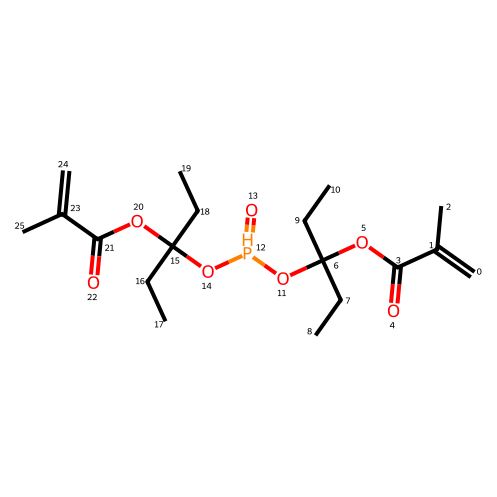 C=C(C)C(=O)OC(CC)(CC)O[PH](=O)OC(CC)(CC)OC(=O)C(=C)C